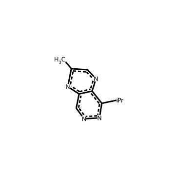 Cc1cnc2c(C(C)C)nncc2n1